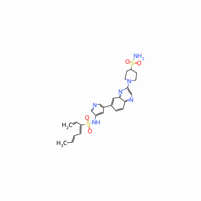 C=CC(=CC=CC)S(=O)(=O)Nc1cncc(-c2ccc3ncc(N4CCC(S(N)(=O)=O)CC4)nc3c2)c1